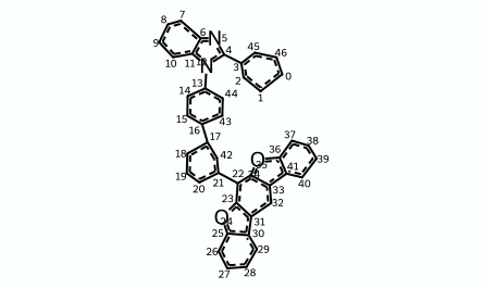 c1ccc(-c2nc3ccccc3n2-c2ccc(-c3cccc(-c4c5oc6ccccc6c5cc5c4oc4ccccc45)c3)cc2)cc1